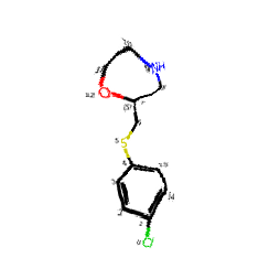 Clc1ccc(SC[C@@H]2CNCCO2)cc1